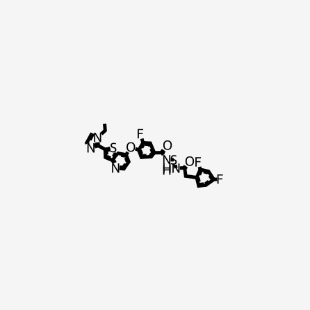 CCn1ccnc1-c1cc2nccc(Oc3ccc(C(=O)NSNC(=O)Cc4ccc(F)cc4F)cc3F)c2s1